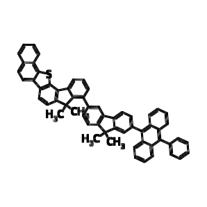 CC1(C)c2ccc(-c3cccc4c3C(C)(C)c3ccc5c(sc6c7ccccc7ccc56)c3-4)cc2-c2ccc(-c3c4ccccc4c(-c4ccccc4)c4ccccc34)cc21